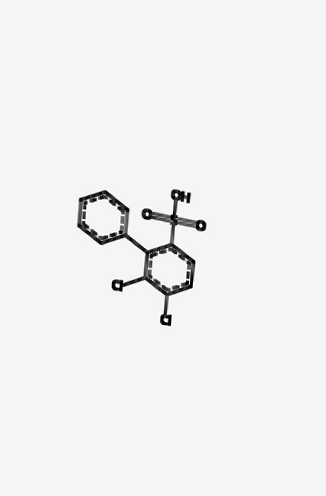 O=S(=O)(O)c1ccc(Cl)c(Cl)c1-c1ccccc1